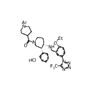 CCOc1ccc(-n2nnnc2C(F)(F)F)cc1CN[C@H]1CCN(C(=O)C2CCN(C(C)=O)CC2)C[C@H]1c1ccccc1.Cl